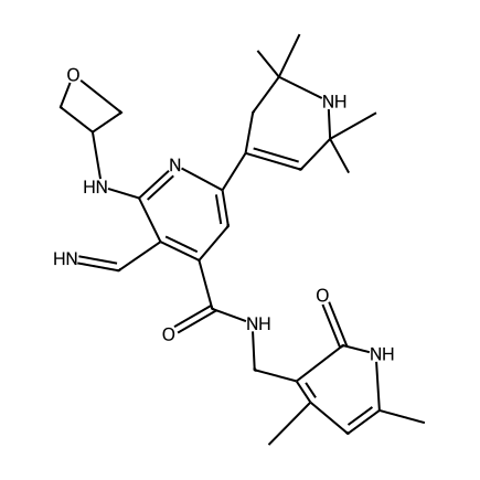 Cc1cc(C)c(CNC(=O)c2cc(C3=CC(C)(C)NC(C)(C)C3)nc(NC3COC3)c2C=N)c(=O)[nH]1